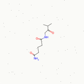 CC(C)C(=O)CNC(=O)CCCC(N)=O